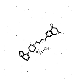 CN1CC(=O)c2ccc(OCCCN3CCN(c4cccc5sccc45)CC3)cc2C1.O=S(=O)(O)O